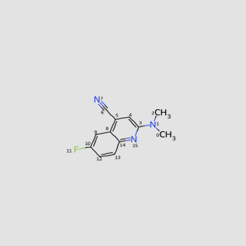 CN(C)c1cc(C#N)c2cc(F)ccc2n1